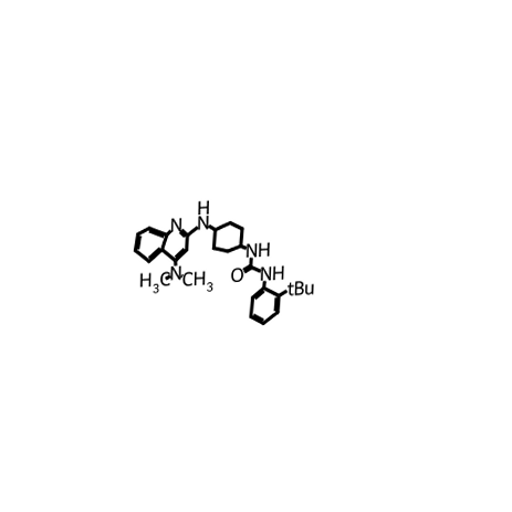 CN(C)c1cc(NC2CCC(NC(=O)Nc3ccccc3C(C)(C)C)CC2)nc2ccccc12